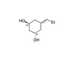 CCC=C1C[C@H](O)C[C@@H](O)C1